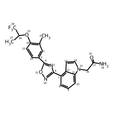 Cc1cc(-c2nc(-c3cccc4c3ccn4CC(N)=O)no2)ccc1OC(C)C(F)(F)F